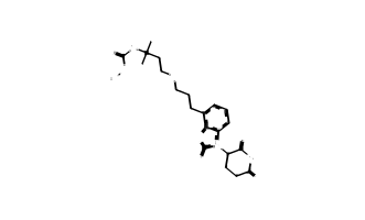 CC(C)(CCOCCCc1cccc2c1oc(=O)n2C1CCC(=O)NC1=O)NC(=O)OC(C)(C)C